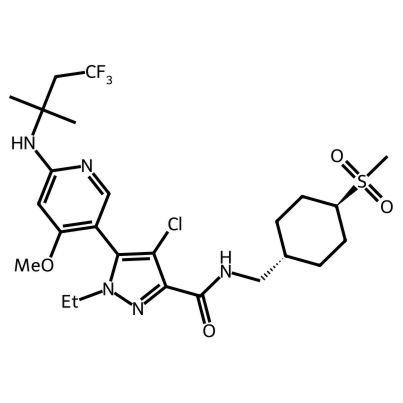 CCn1nc(C(=O)NC[C@H]2CC[C@H](S(C)(=O)=O)CC2)c(Cl)c1-c1cnc(NC(C)(C)CC(F)(F)F)cc1OC